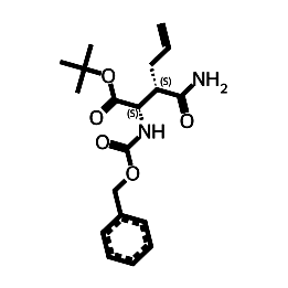 C=CC[C@H](C(N)=O)[C@H](NC(=O)OCc1ccccc1)C(=O)OC(C)(C)C